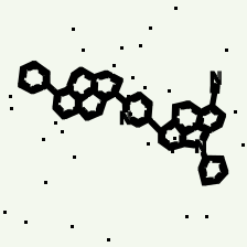 N#Cc1ccc2c3c1ccc1c(-c4ccc(-c5ccc6ccc7c(-c8ccccc8)ccc8ccc5c6c87)nc4)ccc(c13)n2-c1ccccc1